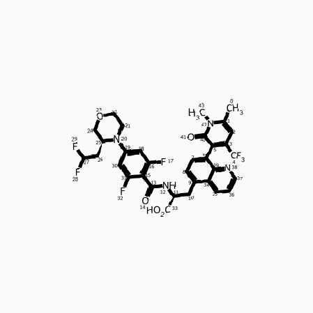 Cc1cc(C(F)(F)F)c(-c2ccc(C[C@H](NC(=O)c3c(F)cc(N4CCOC[C@@H]4CC(F)F)cc3F)C(=O)O)c3cccnc23)c(=O)n1C